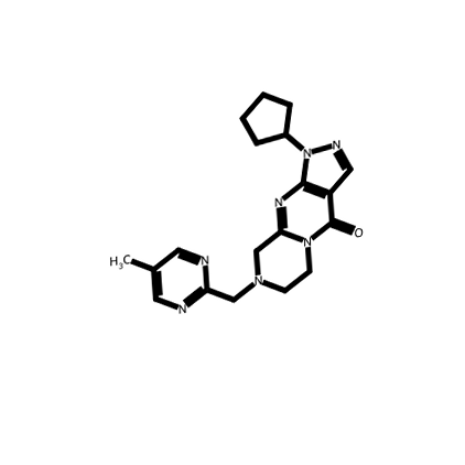 Cc1cnc(CN2CCn3c(nc4c(cnn4C4CCCC4)c3=O)C2)nc1